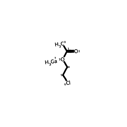 CC(=O)OCCCl.[GaH3]